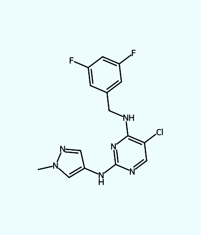 Cn1cc(Nc2ncc(Cl)c(NCc3cc(F)cc(F)c3)n2)cn1